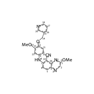 COc1cnc2ccc(Nc3ccc(OCc4cccnc4)c(OC)c3)c(C#N)c2n1